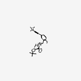 CC(C)(C)OC(=O)NCc1cc(C#C[Si](C)(C)C)ccc1F